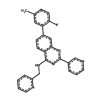 Cc1ccc(F)c(-c2ccc3c(NCc4ccccn4)nc(-c4cccnc4)nc3c2)c1